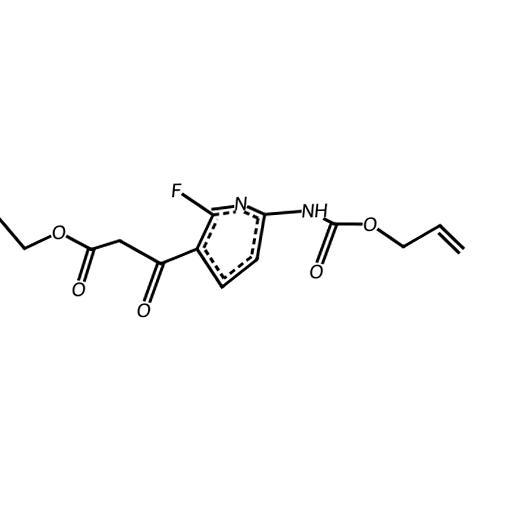 C=CCOC(=O)Nc1ccc(C(=O)CC(=O)OCC)c(F)n1